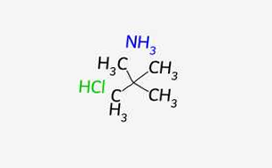 CC(C)(C)C.Cl.N